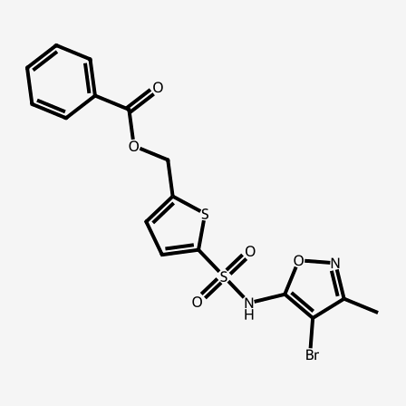 Cc1noc(NS(=O)(=O)c2ccc(COC(=O)c3ccccc3)s2)c1Br